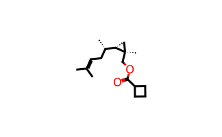 CC(C)=CC[C@H](C)[C@@H]1C[C@@]1(C)COC(=O)C1CCC1